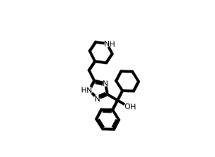 OC(c1ccccc1)(c1n[nH]c(CC2CCNCC2)n1)C1CCCCC1